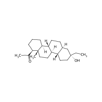 CC[C@@]1(O)CC[C@H]2[C@@H](CC[C@@H]3[C@@H]2CC[C@]2(C)[C@@H](C(C)=O)CCC[C@@H]32)C1